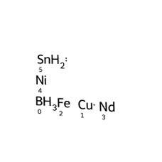 B.[Cu].[Fe].[Nd].[Ni].[SnH2]